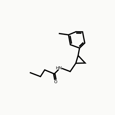 CCCC(=O)NCC1CC1c1cccc(C)c1